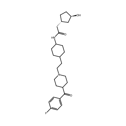 O=C(C[C@@H]1CC[C@@H](O)C1)NC1CCC(CCN2CCC(C(=O)c3ccc(F)cc3)CC2)CC1